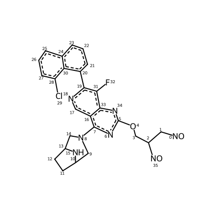 O=NCC(COc1nc(N2CC3CCC(C2)N3)c2cnc(-c3cccc4cccc(Cl)c34)c(F)c2n1)N=O